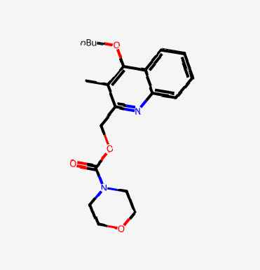 CCCCOc1c(C)c(COC(=O)N2CCOCC2)nc2ccccc12